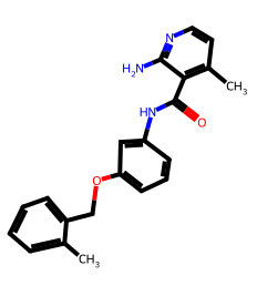 Cc1ccccc1COc1cccc(NC(=O)c2c(C)ccnc2N)c1